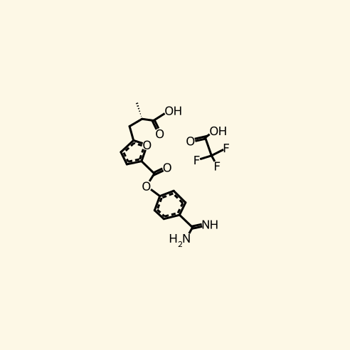 C[C@@H](Cc1ccc(C(=O)Oc2ccc(C(=N)N)cc2)o1)C(=O)O.O=C(O)C(F)(F)F